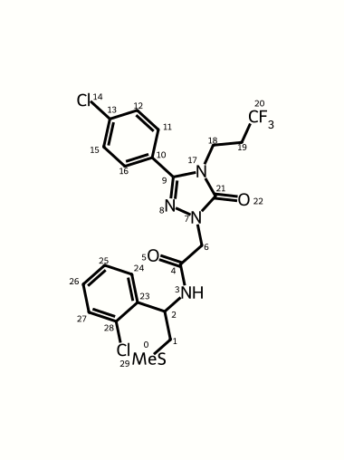 CSCC(NC(=O)Cn1nc(-c2ccc(Cl)cc2)n(CCC(F)(F)F)c1=O)c1ccccc1Cl